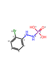 O=P(O)(O)NNc1ccccc1Br